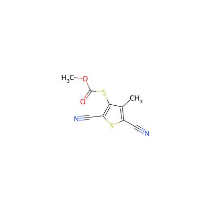 COC(=O)Sc1c(C#N)sc(C#N)c1C